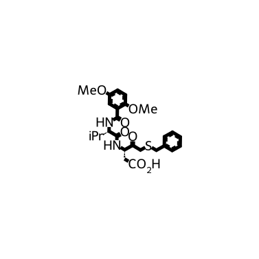 COc1ccc(OC)c(C(=O)N[C@H](C(=O)N[C@@H](CC(=O)O)C(=O)CSCc2ccccc2)C(C)C)c1